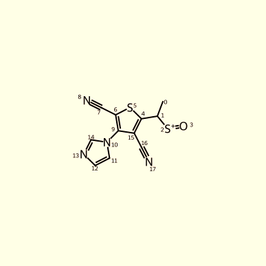 CC([S+]=O)c1sc(C#N)c(-n2ccnc2)c1C#N